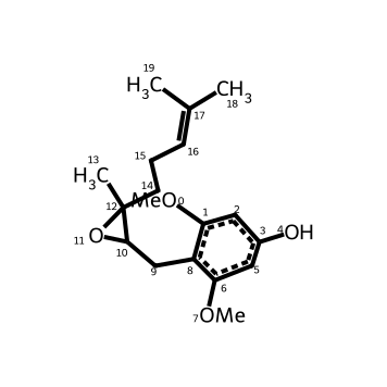 COc1cc(O)cc(OC)c1CC1OC1(C)CCC=C(C)C